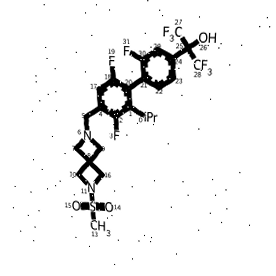 CC(C)c1c(F)c(CN2CC3(C2)CN(S(C)(=O)=O)C3)cc(F)c1-c1ccc(C(O)(C(F)(F)F)C(F)(F)F)cc1F